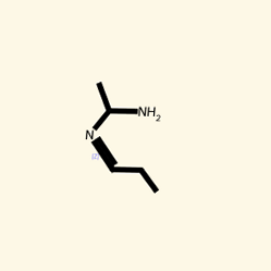 CC/[C]=N\C(C)N